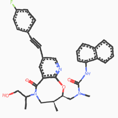 CC(CO)N1C[C@H](C)[C@H](CN(C)C(=O)Nc2cccc3ccccc23)Oc2ncc(C#Cc3ccc(F)cc3)cc2C1=O